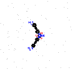 Nc1ccc(C#Cc2ccc(-n3c(=O)[nH]c(=O)n(-c4ccc(C#Cc5ccc(N)cc5)cc4)c3=O)cc2)cc1